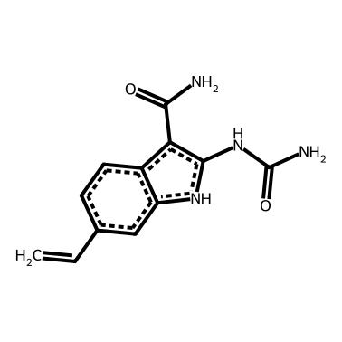 C=Cc1ccc2c(C(N)=O)c(NC(N)=O)[nH]c2c1